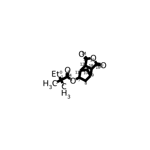 CCC(C)(C)C(=O)OC1CC2CC1C1C(=O)OC(=O)C21